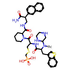 CC(=O)N(C1CNCCN1)C(Cc1csc2ccccc12)C(=O)NC(CSCP(=O)(O)O)C(=O)N1CCCCC1C(=O)NCC(C(N)=O)c1ccc2ccccc2c1